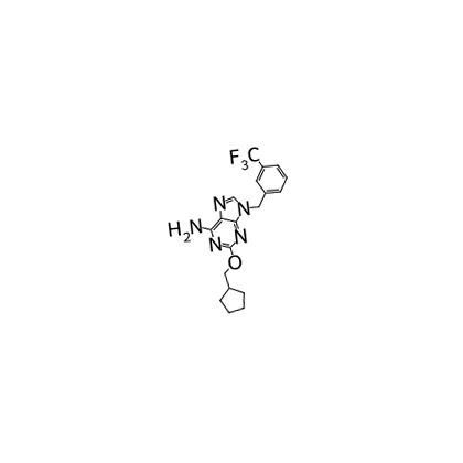 Nc1nc(OCC2CCCC2)nc2c1ncn2Cc1cccc(C(F)(F)F)c1